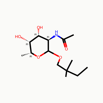 CCC(C)(C)COC1O[C@H](C)[C@H](O)[C@H](O)[C@H]1NC(C)=O